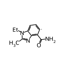 CCn1c(C)nc2c(C(N)=O)[c]ccc21